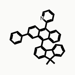 CC1(C)c2ccccc2-c2c(-c3c4ccccc4c(-c4ccccn4)c4ccc(-c5ccccc5)cc34)cccc21